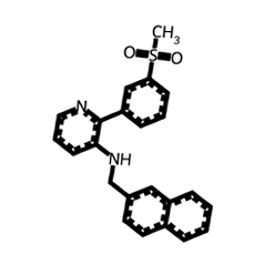 CS(=O)(=O)c1cccc(-c2ncccc2NCc2ccc3ccccc3c2)c1